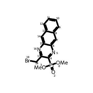 COP(=O)(OC)c1nc2cc3ccccc3cc2nc1CBr